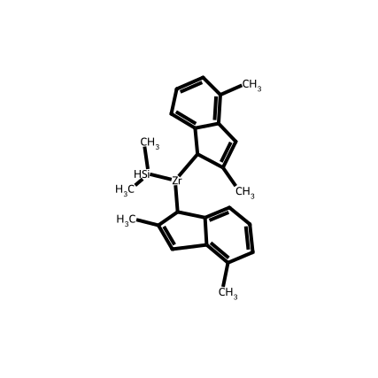 CC1=Cc2c(C)cccc2[CH]1[Zr]([CH]1C(C)=Cc2c(C)cccc21)[SiH](C)C